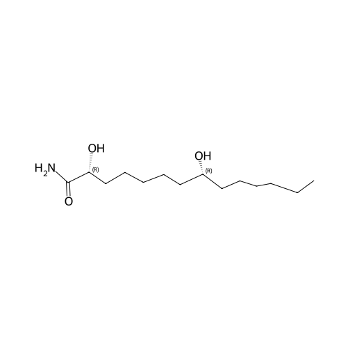 CCCCCC[C@@H](O)CCCCC[C@@H](O)C(N)=O